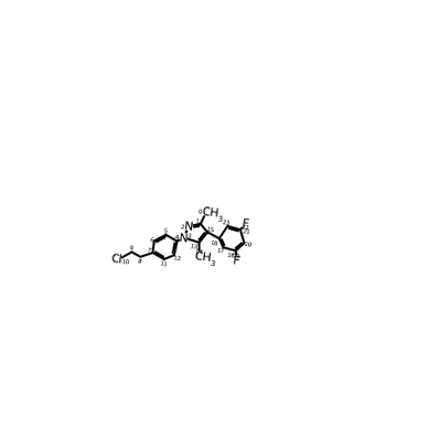 Cc1nn(-c2ccc(CCCl)cc2)c(C)c1-c1cc(F)cc(F)c1